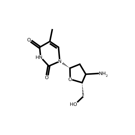 Cc1cn([C@@H]2CC(N)[C@H](CO)O2)c(=O)[nH]c1=O